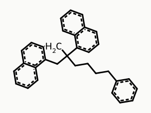 [CH2]C(CCCCc1ccccc1)(Cc1cccc2ccccc12)c1cccc2ccccc12